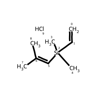 C=C[Si](C)(C)C=C(C)C.Cl